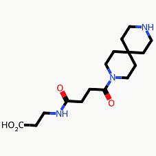 O=C(O)CCNC(=O)CCC(=O)N1CCC2(CCNCC2)CC1